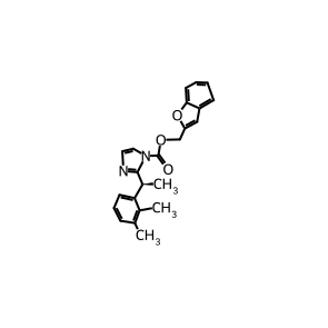 Cc1cccc([C@H](C)c2nccn2C(=O)OCc2cc3ccccc3o2)c1C